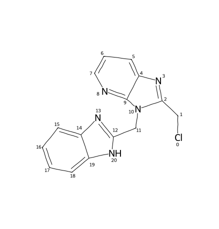 ClCc1nc2cccnc2n1Cc1nc2ccccc2[nH]1